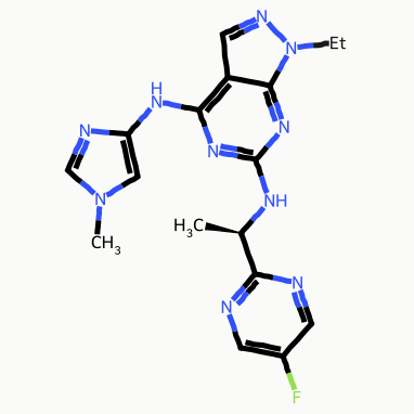 CCn1ncc2c(Nc3cn(C)cn3)nc(N[C@H](C)c3ncc(F)cn3)nc21